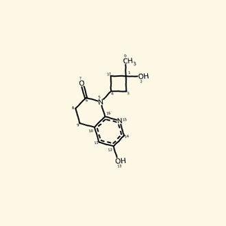 CC1(O)CC(N2C(=O)CCc3cc(O)cnc32)C1